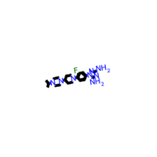 CC(C)N1CCN(C2CCN(c3ccc(-n4nc(N)nc4N)cc3F)CC2)CC1